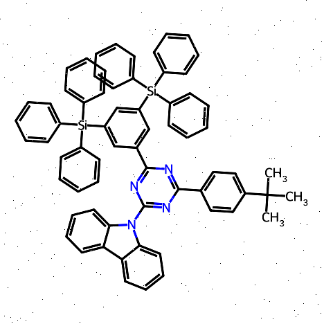 CC(C)(C)c1ccc(-c2nc(-c3cc([Si](c4ccccc4)(c4ccccc4)c4ccccc4)cc([Si](c4ccccc4)(c4ccccc4)c4ccccc4)c3)nc(-n3c4ccccc4c4ccccc43)n2)cc1